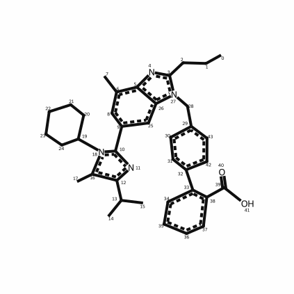 CCCc1nc2c(C)cc(-c3nc(C(C)C)c(C)n3C3CCCCC3)cc2n1Cc1ccc(-c2ccccc2C(=O)O)cc1